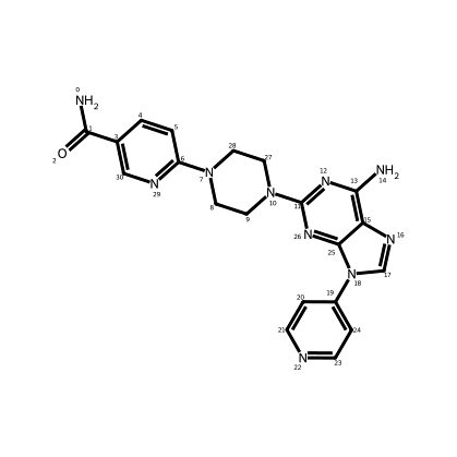 NC(=O)c1ccc(N2CCN(c3nc(N)c4ncn(-c5ccncc5)c4n3)CC2)nc1